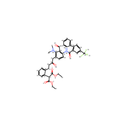 CCOC(=O)C(C(=O)OCC)c1ccccc1CCC(=O)Cc1ccc(NC(=O)c2cc(C(F)(F)F)ccc2-c2ccccc2)c(C=O)c1N(C)C